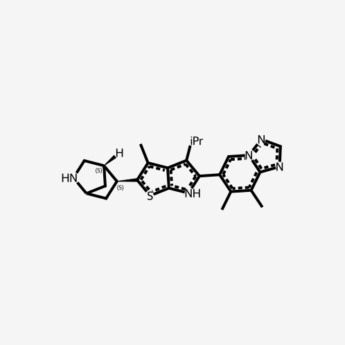 Cc1c(-c2[nH]c3sc([C@H]4CC5C[C@@H]4CN5)c(C)c3c2C(C)C)cn2ncnc2c1C